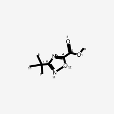 COC(=O)c1nc(C(C)(C)C)no1